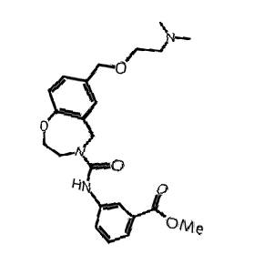 COC(=O)c1cccc(NC(=O)N2CCOc3ccc(COCCN(C)C)cc3C2)c1